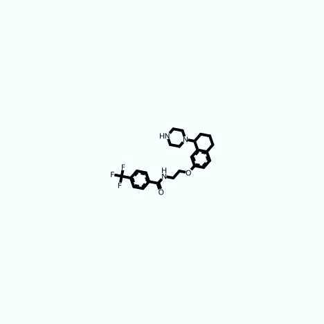 O=C(NCCOc1ccc2c(c1)C(N1CCNCC1)CCC2)c1ccc(C(F)(F)F)cc1